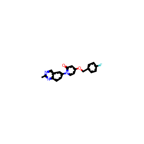 Cc1ncc2cc(-n3ccc(OCc4ccc(F)cc4)cc3=O)ccc2n1